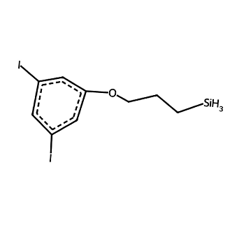 [SiH3]CCCOc1cc(I)cc(I)c1